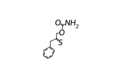 NC(=O)OCC(=S)Cc1ccccc1